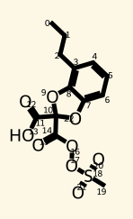 CCCc1cccc2c1OC(C(=O)O)(C(=O)OOS(C)(=O)=O)O2